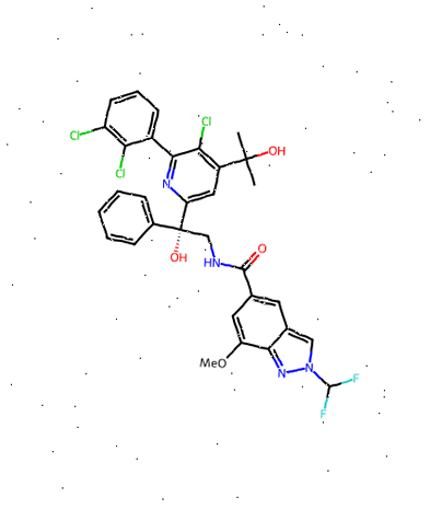 COc1cc(C(=O)NC[C@@](O)(c2ccccc2)c2cc(C(C)(C)O)c(Cl)c(-c3cccc(Cl)c3Cl)n2)cc2cn(C(F)F)nc12